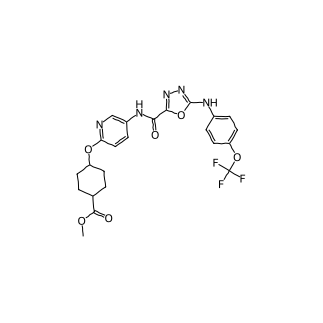 COC(=O)C1CCC(Oc2ccc(NC(=O)c3nnc(Nc4ccc(OC(F)(F)F)cc4)o3)cn2)CC1